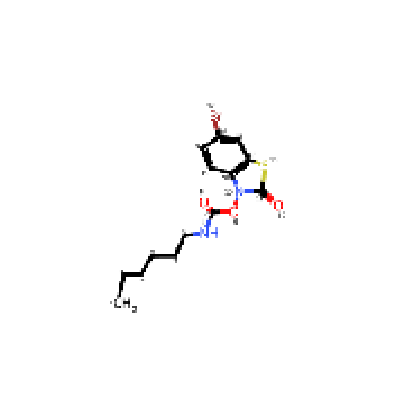 CCCCCCNC(=O)On1c(=O)sc2cc(Br)ccc21